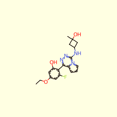 CCOc1cc(O)c(-c2nnc(NC3CC(C)(O)C3)n3cccc23)c(F)c1